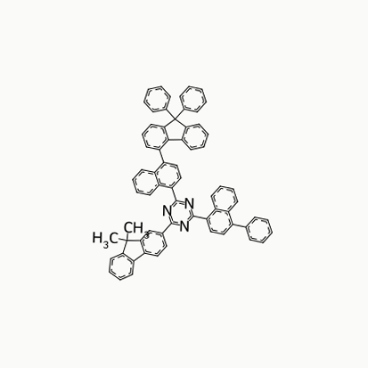 CC1(C)c2ccccc2-c2ccc(-c3nc(-c4ccc(-c5ccccc5)c5ccccc45)nc(-c4ccc(-c5cccc6c5-c5ccccc5C6(c5ccccc5)c5ccccc5)c5ccccc45)n3)cc21